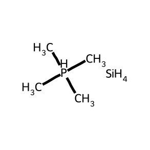 C[PH](C)(C)C.[SiH4]